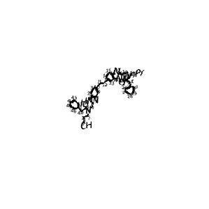 C#CCCN(Cc1nc2cc(CCc3ccc4nc(CN(CCC)C(=O)Cc5ccccc5)[nH]c4c3)ccc2[nH]1)C(=O)Cc1ccccc1